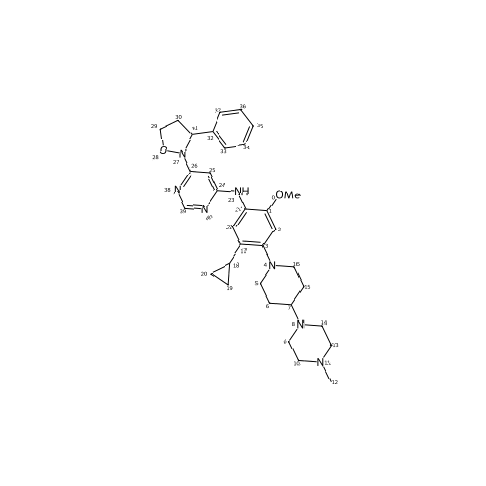 COc1cc(N2CCC(N3CCN(C)CC3)CC2)c(C2CC2)cc1Nc1cc(N2OCCC2c2ccccc2)ncn1